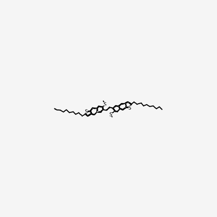 CCCCCCCCCCc1cc2cc3cc(/C=C/c4cc5cc6cc(CCCCCCCCCC)sc6cc5cc4SC)c(SC)cc3cc2s1